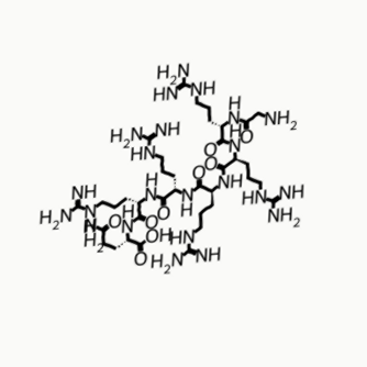 N=C(N)NCCC[C@H](NC(=O)CN)C(=O)N[C@@H](CCCNC(=N)N)C(=O)N[C@@H](CCCNC(=N)N)C(=O)N[C@@H](CCCNC(=N)N)C(=O)N[C@@H](CCCNC(=N)N)C(=O)N[C@@H](CCC(N)=O)C(=O)O